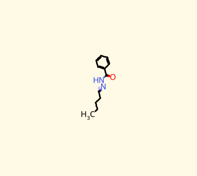 CCCC/C=N/NC(=O)c1ccccc1